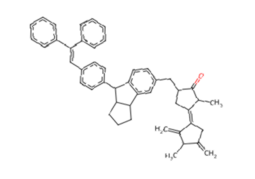 C=C1C/C(=C2/CC(Cc3ccc4c(c3)C3CCCC3C4c3ccc(C=C(c4ccccc4)c4ccccc4)cc3)C(=O)C2C)C(=C)C1C